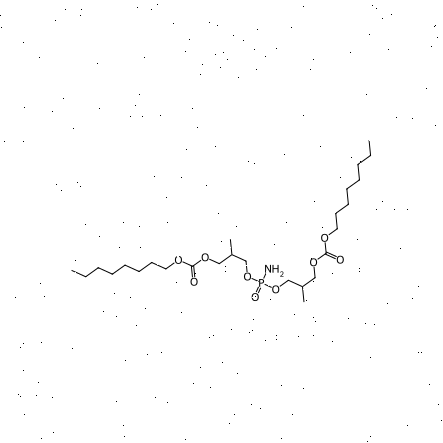 CCCCCCCCOC(=O)OCC(C)COP(N)(=O)OCC(C)COC(=O)OCCCCCCCC